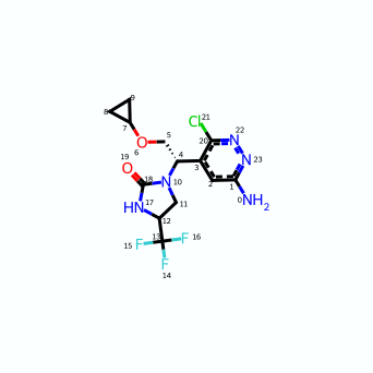 Nc1cc([C@@H](COC2CC2)N2CC(C(F)(F)F)NC2=O)c(Cl)nn1